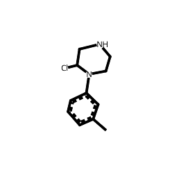 Cc1cccc(N2CCNCC2Cl)c1